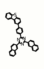 c1ccc2cc(-c3nc(-c4ccc(-c5ccc6sc7ccccc7c6c5)cc4)nc(-c4ccc5ccccc5c4)n3)ccc2c1